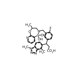 Cc1c(C(CC(=O)O)c2ccc(F)c(CN3CC(C)Oc4ncccc4S3(O)O)c2)ccc2c1nnn2C